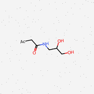 CC(=O)CC(=O)NCC(O)CO